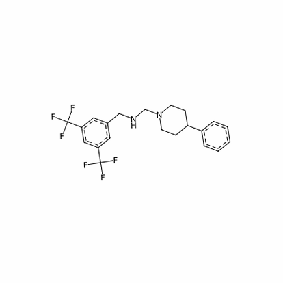 FC(F)(F)c1cc(CNCN2CCC(c3ccccc3)CC2)cc(C(F)(F)F)c1